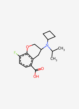 CC(C)N(C1CCC1)C1COc2c(F)ccc(C(=O)O)c2C1